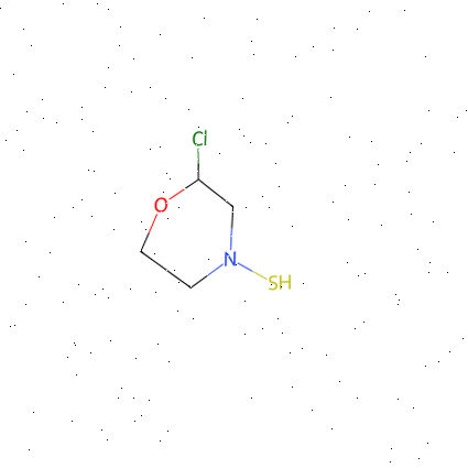 SN1CCOC(Cl)C1